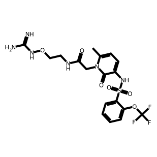 Cc1ccc(NS(=O)(=O)c2ccccc2OC(F)(F)F)c(=O)n1CC(=O)NCCONC(=N)N